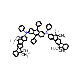 CC1(C)c2ccccc2-c2cc3c(cc21)-c1ccc(N(c2ccccc2)c2ccc4c(-c5ccccc5)c5cc(N(c6ccccc6)c6ccc7c(c6)C(C)(C)c6cc8c(cc6-7)C(C)(C)c6ccccc6-8)ccc5c(-c5ccccc5)c4c2)cc1C3(C)C